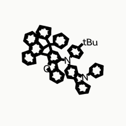 CC(C)(C)c1ccc(N(c2ccc3c4ccccc4n(-c4ccccc4)c3c2)c2cc3c(c4oc5ccccc5c24)-c2c(c4ccccc4c4ccccc24)C3(c2ccccc2)c2ccccc2)cc1